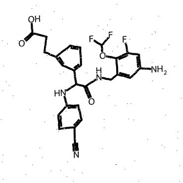 N#Cc1ccc(NC(C(=O)NCc2cc(N)cc(F)c2OC(F)F)c2cccc(CCC(=O)O)c2)cc1